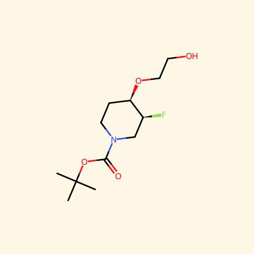 CC(C)(C)OC(=O)N1CC[C@@H](OCCO)[C@@H](F)C1